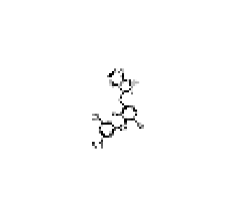 [C-]#[N+]c1cc(Cl)cc(Oc2c(Br)ccc(Cc3n[nH]c4nccnc34)c2F)c1